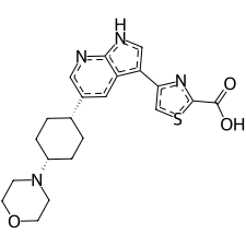 O=C(O)c1nc(-c2c[nH]c3ncc([C@H]4CC[C@@H](N5CCOCC5)CC4)cc23)cs1